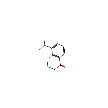 CC(C)c1cccc2c1NCCC2=O